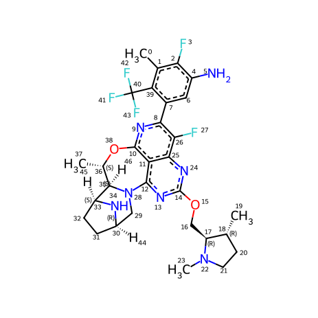 Cc1c(F)c(N)cc(-c2nc3c4c(nc(OC[C@H]5[C@H](C)CCN5C)nc4c2F)N2C[C@H]4CC[C@H](N4)[C@H]2[C@H](C)O3)c1C(F)(F)F